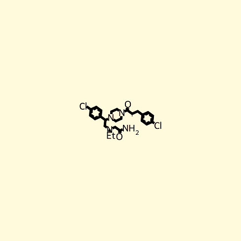 CCN(CC(N)=O)CC(c1ccc(Cl)cc1)N1CCN(C(=O)[CH]Cc2ccc(Cl)cc2)CC1